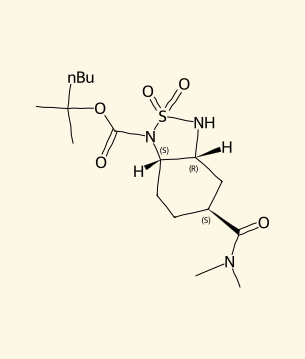 CCCCC(C)(C)OC(=O)N1[C@H]2CC[C@H](C(=O)N(C)C)C[C@H]2NS1(=O)=O